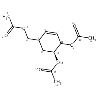 CC(=O)OCC1C=CC(OC(C)=O)[C@@H](OC(C)=O)C1